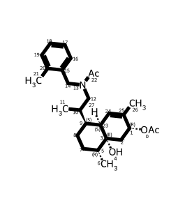 CC(=O)O[C@@H]1[CH][C@@]2(O)[C@H](C)CC[C@@H](C(C)CN(Cc3ccccc3C)C(C)=O)[C@H]2C=C1C